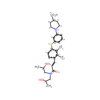 CC(O)CN(CC(C)O)C(=O)C=Cc1ccc(Sc2cccc(N3CCC(C(=O)O)CC3)c2)c(C(F)(F)F)c1C(F)(F)F